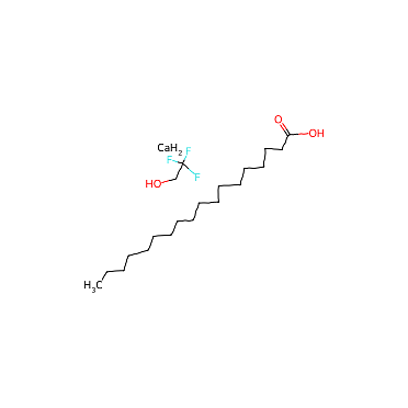 CCCCCCCCCCCCCCCCCC(=O)O.OCC(F)(F)F.[CaH2]